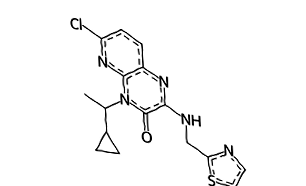 Cc1cnc(CNc2nc3ccc(Cl)nc3n(C(C)C3CC3)c2=O)s1